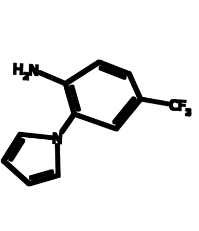 Nc1ccc(C(F)(F)F)cc1-n1cccc1